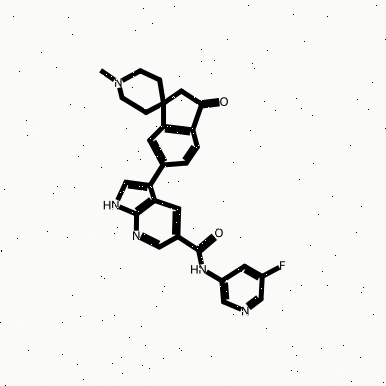 CN1CCC2(CC1)CC(=O)c1ccc(-c3c[nH]c4ncc(C(=O)Nc5cncc(F)c5)cc34)cc12